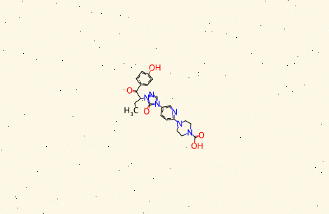 CCC(C(=O)c1ccc(O)cc1)n1ncn(-c2ccc(N3CCN(C(=O)O)CC3)nc2)c1=O